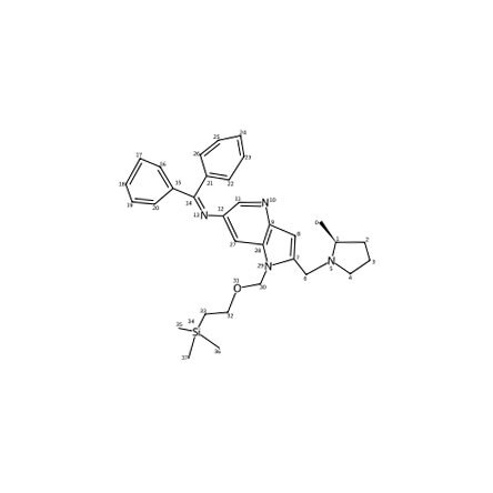 C[C@H]1CCCN1Cc1cc2ncc(N=C(c3ccccc3)c3ccccc3)cc2n1COCC[Si](C)(C)C